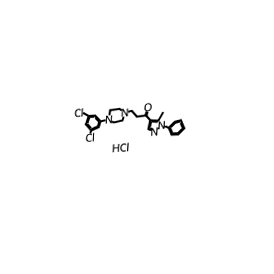 Cc1c(C(=O)CCN2CCN(c3cc(Cl)cc(Cl)c3)CC2)cnn1-c1ccccc1.Cl